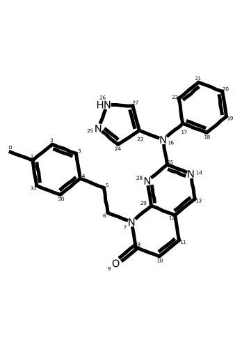 Cc1ccc(CCn2c(=O)ccc3cnc(N(c4ccccc4)c4cn[nH]c4)nc32)cc1